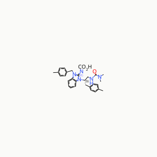 Cc1ccc(C[C@@H](CNC(=O)N(C)C)n2/c(=N/C(=O)O)n(Cc3ccc(C)cc3)c3ccccc32)cc1